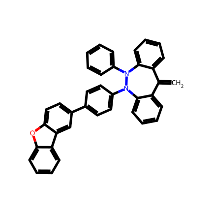 C=C1c2ccccc2N(c2ccccc2)N(c2ccc(-c3ccc4oc5ccccc5c4c3)cc2)c2ccccc21